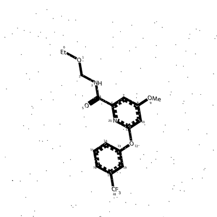 CCOCNC(=O)c1cc(OC)cc(Oc2cccc(C(F)(F)F)c2)n1